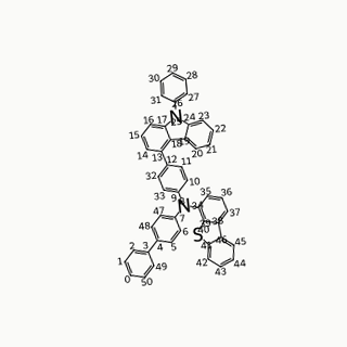 c1ccc(-c2ccc(N(c3ccc(-c4cccc5c4c4ccccc4n5-c4ccccc4)cc3)c3cccc4c3sc3ccccc34)cc2)cc1